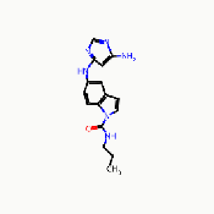 CCCNC(=O)n1ccc2cc(Nc3cc(N)ncn3)ccc21